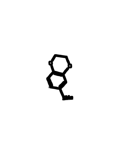 CSc1[c]cc2c(c1)OCCO2